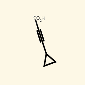 O=C(O)C#CC1CC1